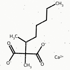 CCCCCC(C)C(C)(C(=O)[O-])C(=O)[O-].[Ca+2]